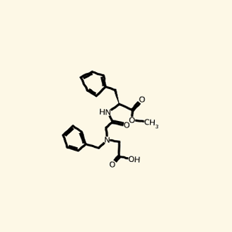 COC(=O)[C@H](Cc1ccccc1)NC(=O)CN(CC(=O)O)Cc1ccccc1